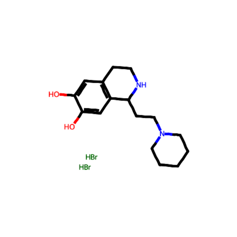 Br.Br.Oc1cc2c(cc1O)C(CCN1CCCCC1)NCC2